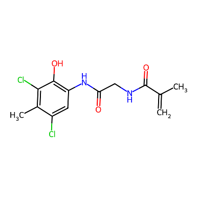 C=C(C)C(=O)NCC(=O)Nc1cc(Cl)c(C)c(Cl)c1O